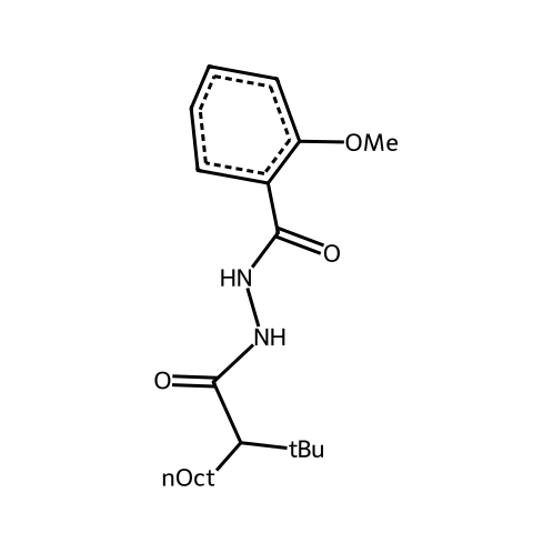 CCCCCCCCC(C(=O)NNC(=O)c1ccccc1OC)C(C)(C)C